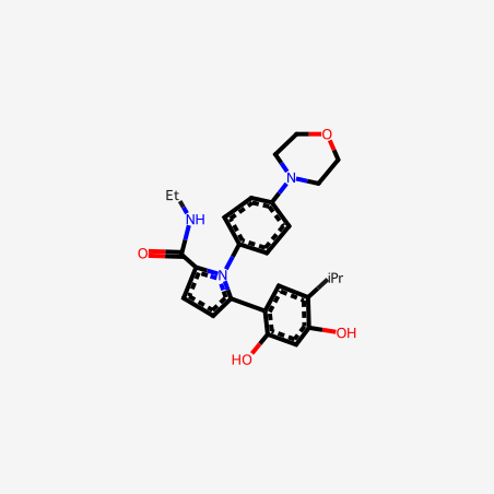 CCNC(=O)c1ccc(-c2cc(C(C)C)c(O)cc2O)n1-c1ccc(N2CCOCC2)cc1